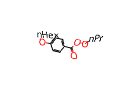 [CH2]CCOOC(=O)c1ccc(OCCCCCC)cc1